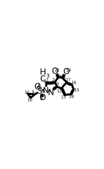 Cc1c2c(nn1S(=O)(=O)C1CC1)-c1ccccc1C(=O)C2=O